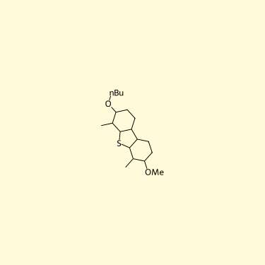 CCCCOC1CCC2C3CCC(OC)C(C)C3SC2C1C